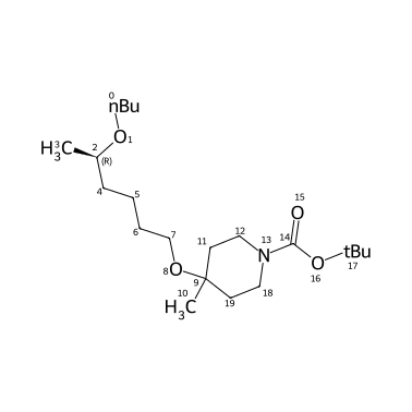 CCCCO[C@H](C)CCCCOC1(C)CCN(C(=O)OC(C)(C)C)CC1